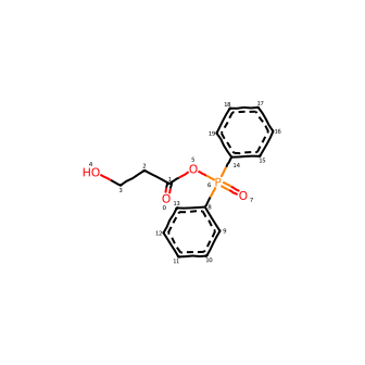 O=C(CCO)OP(=O)(c1ccccc1)c1ccccc1